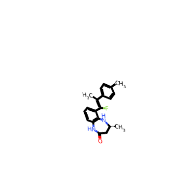 C/C(=C(/F)c1cccc2c1N[C@H](C)CC(=O)N2)c1ccc(C)cc1